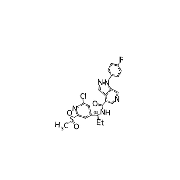 CC[C@H](NC(=O)c1cncc2c1cnn2-c1ccc(F)cc1)c1cc(Cl)nc(S(C)(=O)=O)c1